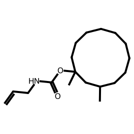 C=CCNC(=O)OC1(C)CCCCCCCCCC(C)C1